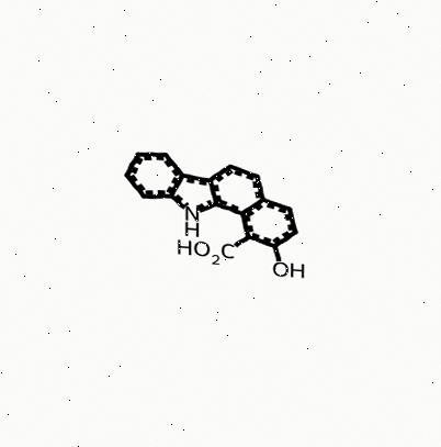 O=C(O)c1c(O)ccc2ccc3c4ccccc4[nH]c3c12